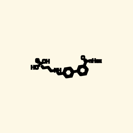 CCCCCCC(=O)c1cccc(-c2ccc(CNCCCP(=O)(O)O)cc2)c1